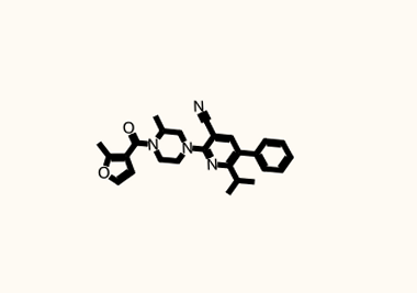 Cc1occc1C(=O)N1CCN(c2nc(C(C)C)c(-c3ccccc3)cc2C#N)CC1C